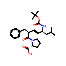 CC(C)C[C@@H](/C=C/[C@H](Cc1ccccc1)C(=O)N1CCC[C@@H]1C(=O)O)NC(=O)OC(C)(C)C